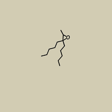 CCCCCC1(CCCCC)OC1C